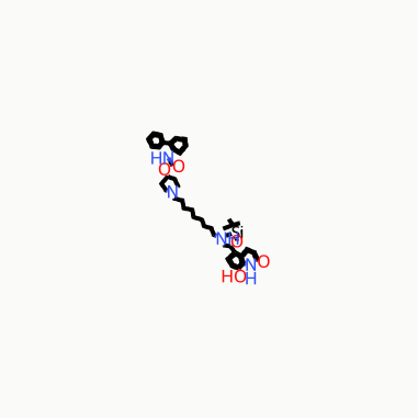 CC(C)(C)[Si](C)(C)OC(CNCCCCCCCCCN1CCC(OC(=O)Nc2ccccc2-c2ccccc2)CC1)c1ccc(O)c2[nH]c(=O)ccc12